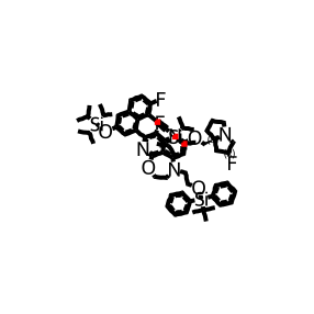 CC(C)[Si](C#Cc1c(F)ccc2cc(O[Si](C(C)C)(C(C)C)C(C)C)cc(-c3nc4c5c(cc(OC[C@@]67CCCN6C[C@H](F)C7)nc5c3F)N(CCO[Si](c3ccccc3)(c3ccccc3)C(C)(C)C)CCO4)c12)(C(C)C)C(C)C